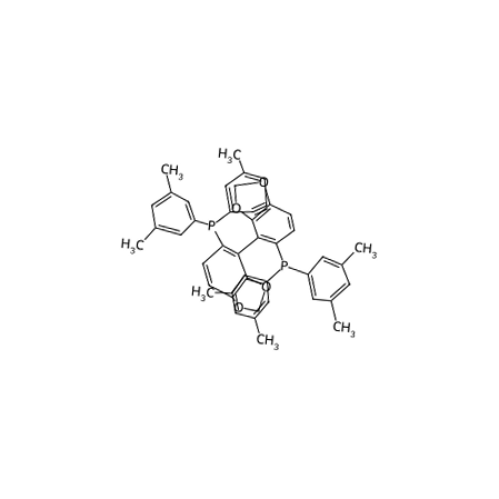 Cc1cc#cc(P(c2cc(C)cc(C)c2)c2ccc3c(c2-c2c(P(c4cc(C)cc(C)c4)c4cc(C)cc(C)c4)ccc4c2OCO4)OCO3)c1